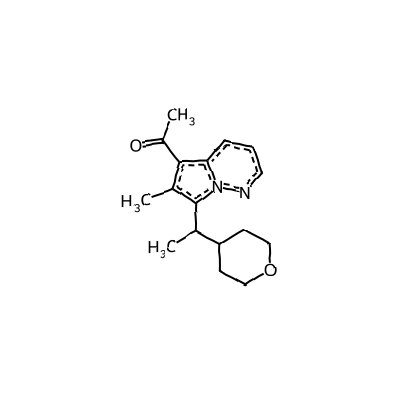 CC(=O)c1c(C)c(C(C)C2CCOCC2)n2ncccc12